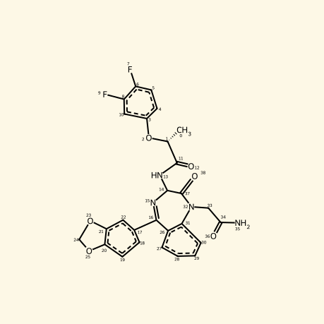 C[C@@H](Oc1ccc(F)c(F)c1)C(=O)NC1N=C(c2ccc3c(c2)OCO3)c2ccccc2N(CC(N)=O)C1=O